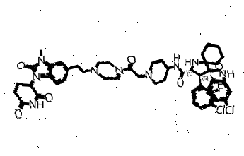 Cn1c(=O)n(C2CCC(=O)NC2=O)c2ccc(CCN3CCN(C(=O)CN4CCC(NC(=O)[C@@H]5NC6(CCCCC6)[C@@]6(C(=O)Nc7cc(Cl)ccc76)[C@H]5c5cccc(Cl)c5F)CC4)CC3)cc21